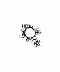 C/C(=C\c1csc(C)n1)C1C/C=C(/C(F)(F)F)C/C=C/C(C)C(O)[C@@H](C)C(=O)C(C)(C)C(O)CC(=O)O1